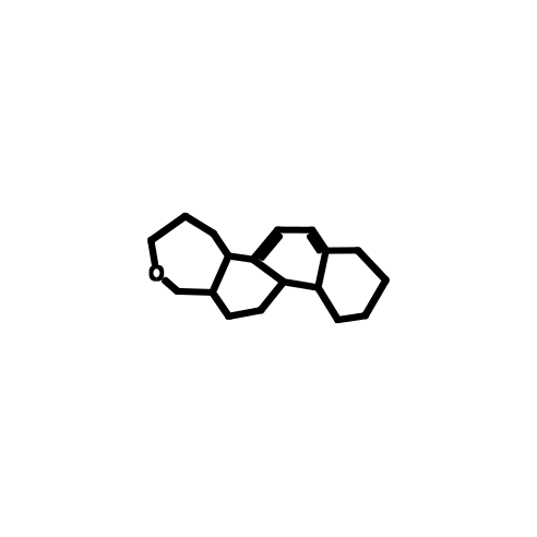 C1=C2CCCCC2C2CCC3COCCCC3C2=C1